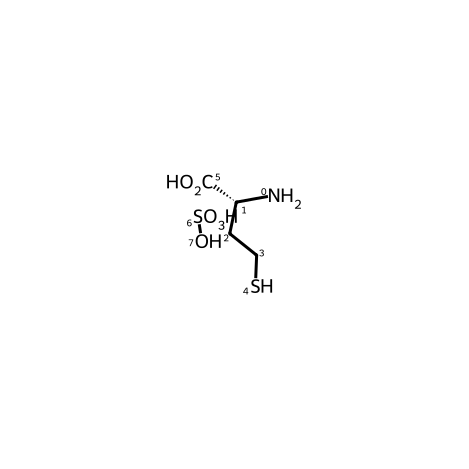 N[C@H](CCS)C(=O)O.O=S(=O)(O)O